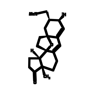 [3H][C@H]1C=C2C=C3CC[C@]4(C)C(=O)CC[C@H]4[C@@]34CC[C@]2(C[C@@H]1CNC)O4